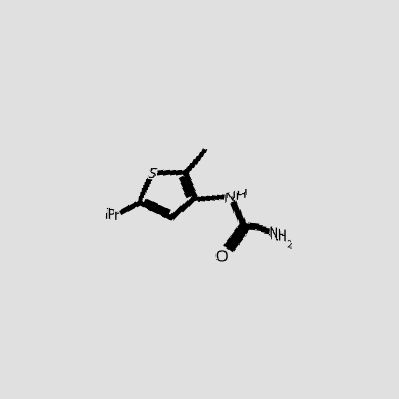 Cc1sc(C(C)C)cc1NC(N)=O